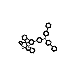 c1ccc(-c2ccc(N(c3ccc(-c4ccccc4)cc3)c3ccc(-c4ccc5c(c4)-c4ccccc4C54c5ccccc5Oc5cc6ccccc6cc54)cc3)cc2)cc1